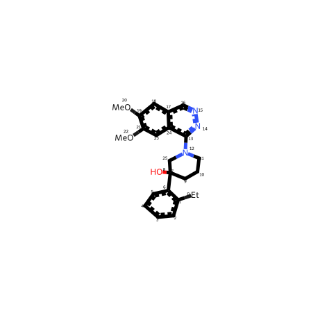 CCc1ccccc1C1(O)CCCN(c2nncc3cc(OC)c(OC)cc23)C1